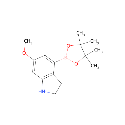 COc1cc2c(c(B3OC(C)(C)C(C)(C)O3)c1)CCN2